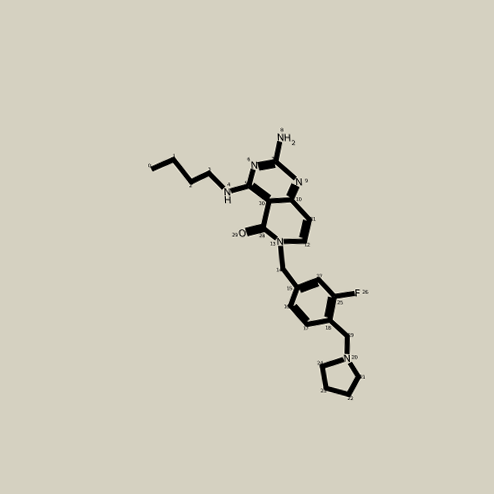 CCCCNc1nc(N)nc2ccn(Cc3ccc(CN4CCCC4)c(F)c3)c(=O)c12